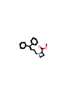 COC(=O)C1CCN1CCC=C(c1ccccc1)c1ccccc1